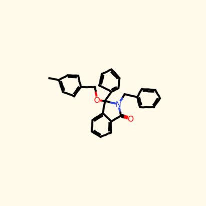 Cc1ccc(COC2(c3ccccc3)c3ccccc3C(=O)N2Cc2ccccc2)cc1